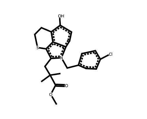 COC(=O)C(C)(C)Cc1c2c3c(c(O)ccc3n1Cc1ccc(Cl)cc1)CCS2